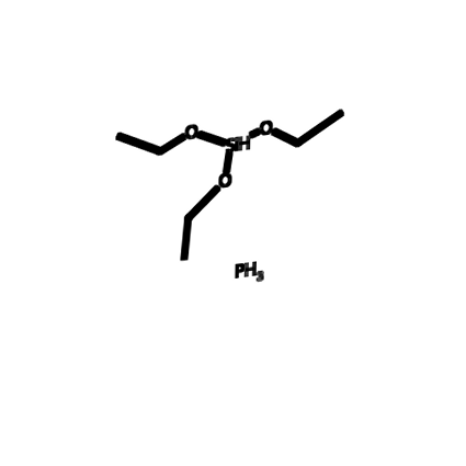 CCO[SiH](OCC)OCC.P